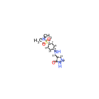 CN(C)S(=O)(=O)c1ccc(NC=C2C=NNC2=O)cc1